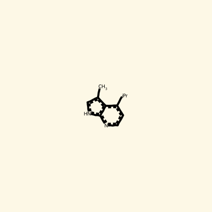 Cc1c[nH]c2nccc(C(C)C)c12